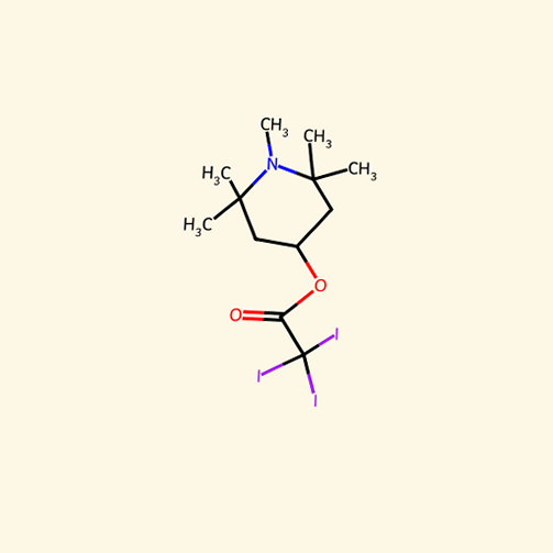 CN1C(C)(C)CC(OC(=O)C(I)(I)I)CC1(C)C